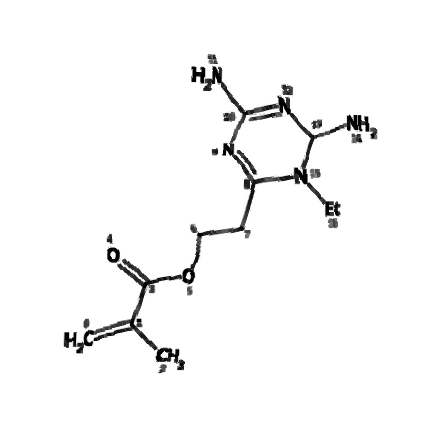 C=C(C)C(=O)OCCC1=NC(N)=NC(N)N1CC